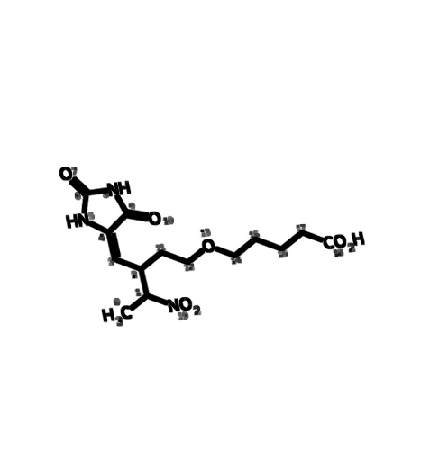 CC(C(/C=C1/NC(=O)NC1=O)CCOCCCCC(=O)O)[N+](=O)[O-]